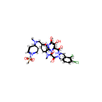 CN(C)C(=O)C(=O)N(C)C12CCC(CN(C)C3CCN(S(C)(=O)=O)CC3)(CC1)Cn1c2nc(C(=O)NCc2cccc(Cl)c2F)c(O)c1=O